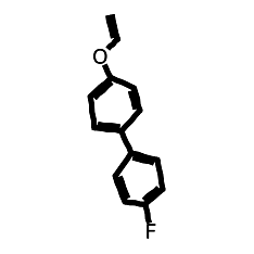 C=COc1ccc(-c2ccc(F)cc2)cc1